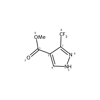 COC(=O)c1c[nH]nc1C(F)(F)F